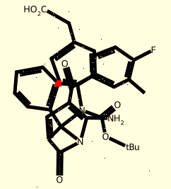 Cc1cc(C(=O)c2cc3c(=O)n(c2N)C3(c2ccccc2)N(C(=O)OC(C)(C)C)c2ccc(CC(=O)O)cc2)ccc1F